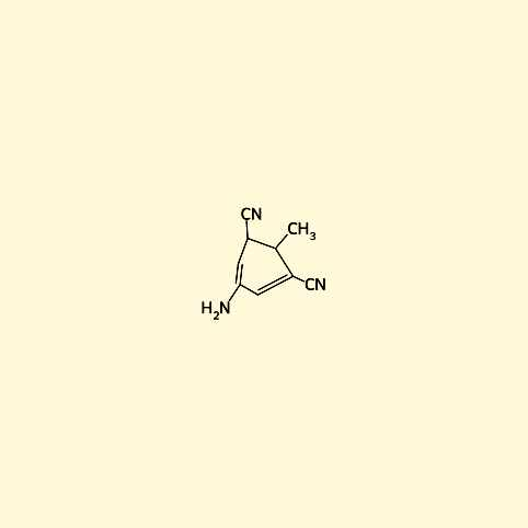 CC1C(C#N)=CC(N)=CC1C#N